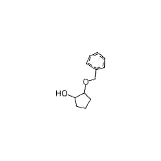 OC1CCCC1OCc1ccccc1